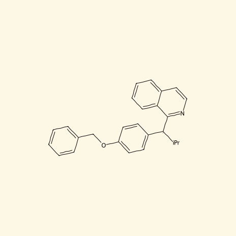 CC(C)[C](c1ccc(OCc2ccccc2)cc1)c1nccc2ccccc12